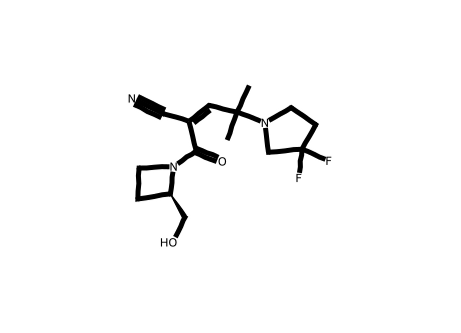 CC(C)(/C=C(/C#N)C(=O)N1CC[C@@H]1CO)N1CCC(F)(F)C1